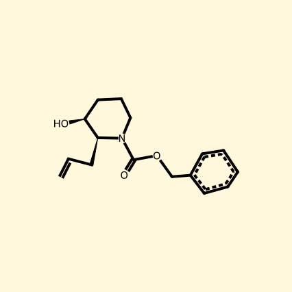 C=CC[C@H]1[C@@H](O)CCCN1C(=O)OCc1ccccc1